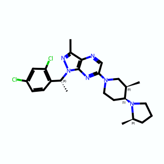 Cc1nn([C@H](C)c2ccc(Cl)cc2Cl)c2nc(N3CC[C@H](N4CCC[C@H]4C)[C@H](C)C3)cnc12